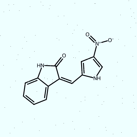 O=C1Nc2ccccc2C1=Cc1cc([N+](=O)[O-])c[nH]1